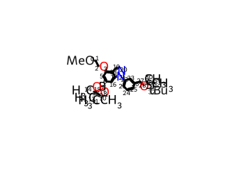 COCCOc1cc(B2OC(C)(C)C(C)(C)O2)cc2c1cnn2-c1cccc(CO[Si](C)(C)C(C)(C)C)c1